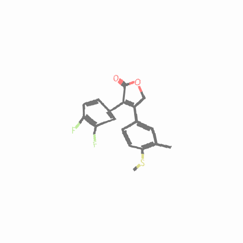 CSc1ccc(C2=C(c3ccc(F)c(F)c3)C(=O)OC2)cc1C